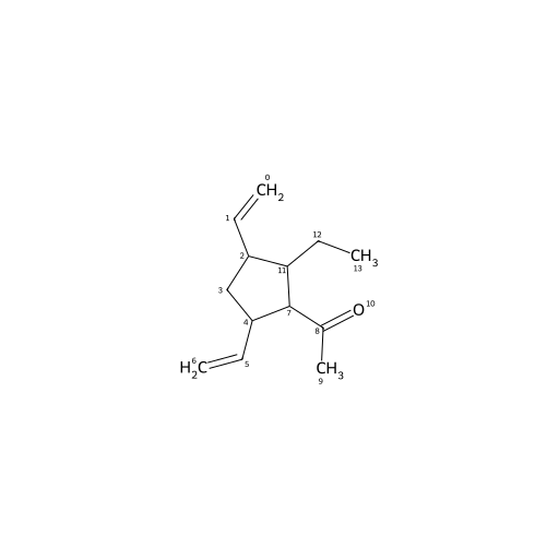 C=CC1CC(C=C)C(C(C)=O)C1CC